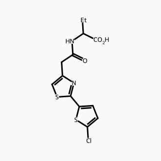 CCC(NC(=O)Cc1csc(-c2ccc(Cl)s2)n1)C(=O)O